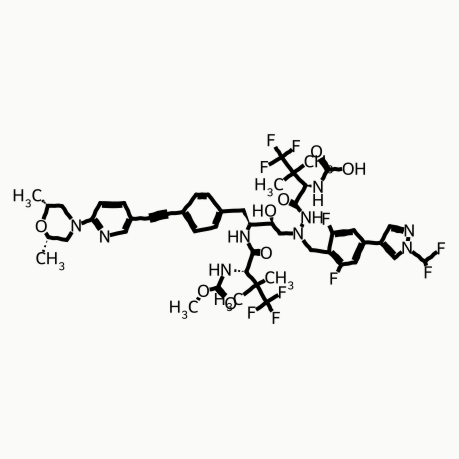 COC(=O)N[C@H](C(=O)N[C@@H](Cc1ccc(C#Cc2ccc(N3C[C@@H](C)O[C@@H](C)C3)nc2)cc1)[C@@H](O)CN(Cc1c(F)cc(-c2cnn(C(F)F)c2)cc1F)NC(=O)[C@@H](NC(=O)O)C(C)(C)C(F)(F)F)C(C)(C)C(F)(F)F